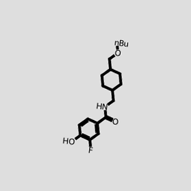 CCCCOCC1CCC(CNC(=O)c2ccc(O)c(F)c2)CC1